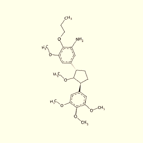 CCCOc1c(N)cc([C@@H]2CC[C@@H](c3cc(OC)c(OC)c(OC)c3)C2OC)cc1OC